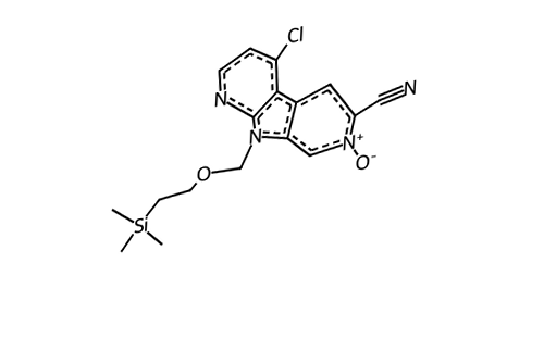 C[Si](C)(C)CCOCn1c2c[n+]([O-])c(C#N)cc2c2c(Cl)ccnc21